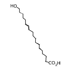 O=C(O)CCCCCCCCCCCC=CCCCCCO